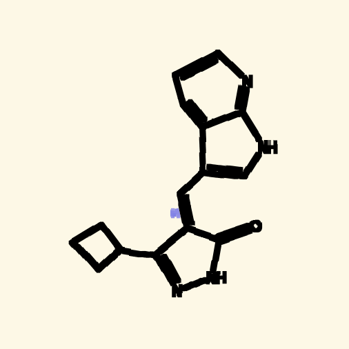 O=C1NN=C(C2CCC2)/C1=C/c1c[nH]c2ncccc12